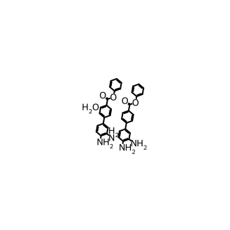 Nc1ccc(-c2ccc(C(=O)Oc3ccccc3)cc2)cc1N.Nc1ccc(-c2ccc(C(=O)Oc3ccccc3)cc2)cc1N.O